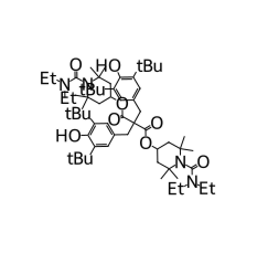 CCN(CC)C(=O)N1C(C)(C)CC(OC(=O)C(Cc2cc(C(C)(C)C)c(O)c(C(C)(C)C)c2)(Cc2cc(C(C)(C)C)c(O)c(C(C)(C)C)c2)C(=O)OC2CC(C)(C)N(C(=O)N(CC)CC)C(C)(C)C2)CC1(C)C